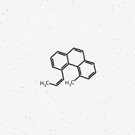 C/C=C\c1cccc2ccc3cccc(C)c3c12